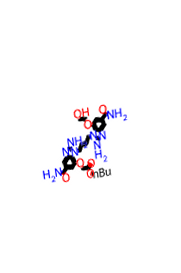 CCCCOC(=O)COc1cc(C(N)=O)cc2nc(N)n(C/C=C/Cn3c(N)nc4cc(C(N)=O)cc(OCCO)c43)c12